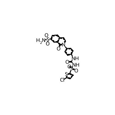 NS(=O)(=O)c1ccc2ccn(-c3ccc(NC(=O)NS(=O)(=O)c4ccc(Cl)s4)cc3)c(=O)c2c1